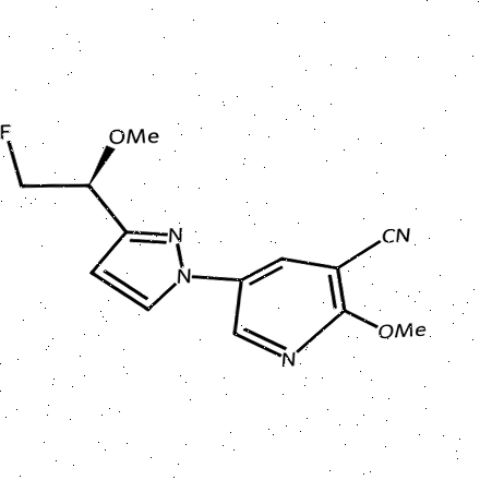 COc1ncc(-n2ccc([C@@H](CF)OC)n2)cc1C#N